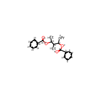 CCCC(OC(=O)c1ccccc1)C(CC)C(CC)OC(=O)c1ccccc1